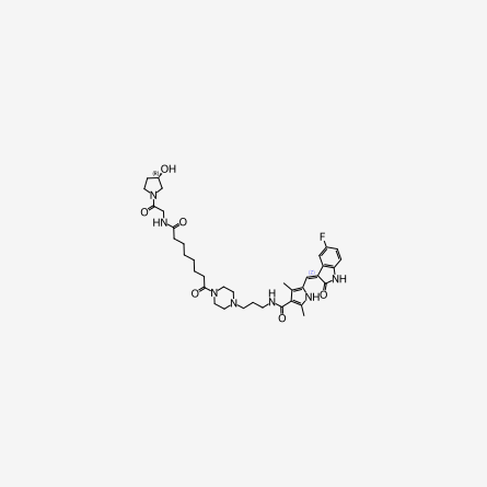 Cc1[nH]c(/C=C2\C(=O)Nc3ccc(F)cc32)c(C)c1C(=O)NCCCN1CCN(C(=O)CCCCCCC(=O)NCC(=O)N2CC[C@@H](O)C2)CC1